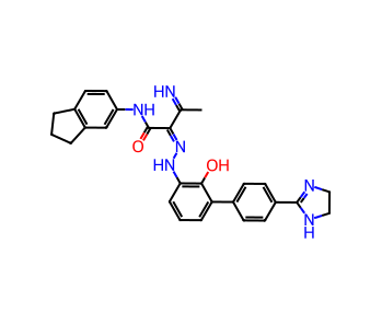 CC(=N)/C(=N/Nc1cccc(-c2ccc(C3=NCCN3)cc2)c1O)C(=O)Nc1ccc2c(c1)CCC2